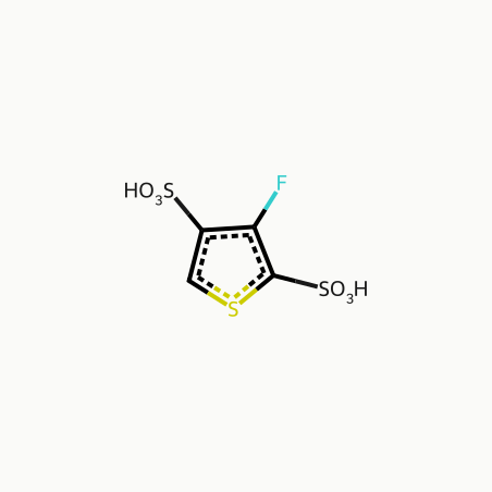 O=S(=O)(O)c1csc(S(=O)(=O)O)c1F